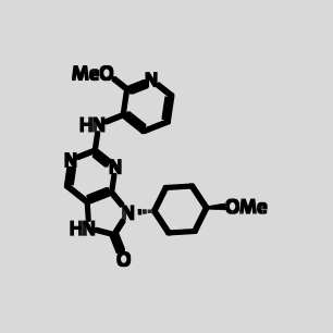 COc1ncccc1Nc1ncc2[nH]c(=O)n([C@H]3CC[C@H](OC)CC3)c2n1